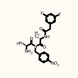 CCC[C@H](N)C(=O)N(Cc1ccc([N+](=O)[O-])cc1)C(=O)[C@H](C)NC(=O)Cc1cc(F)cc(F)c1